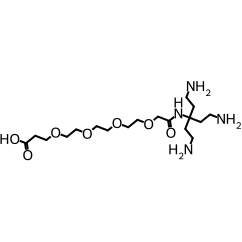 NCCC(CCN)(CCN)NC(=O)COCCOCCOCCOCCC(=O)O